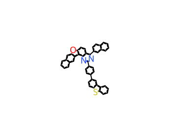 c1ccc2cc(-c3nc(-c4ccc(-c5ccc6sc7ccccc7c6c5)cc4)nc4c3ccc3oc5cc6ccccc6cc5c34)ccc2c1